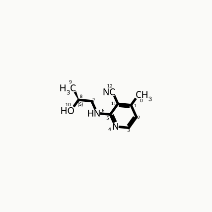 Cc1ccnc(NC[C@H](C)O)c1C#N